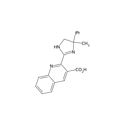 CC(C)C1(C)CNC(c2nc3ccccc3cc2C(=O)O)=N1